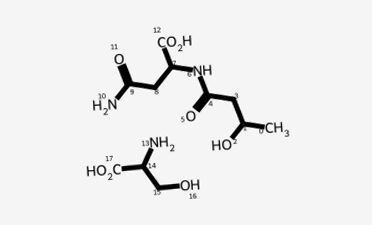 CC(O)CC(=O)NC(CC(N)=O)C(=O)O.NC(CO)C(=O)O